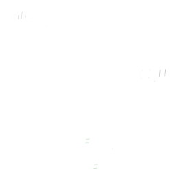 CCCCc1ccc(-c2ccc(-c3cc(OC(F)F)ccc3C(=O)O)cc2)cc1